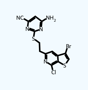 N#Cc1cc(N)nc(SCCc2cc3c(Br)csc3c(Cl)n2)n1